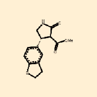 COC(=O)C1C(=O)NC[C@H]1c1ccc2c(c1)CCO2